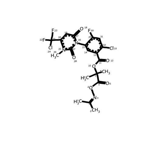 CC(C)=NOC(=O)C(C)(C)OC(=O)c1cc(-n2c(=O)cc(C(F)(F)Cl)n(C)c2=O)c(F)cc1Cl